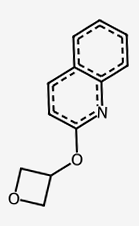 c1ccc2nc(OC3COC3)ccc2c1